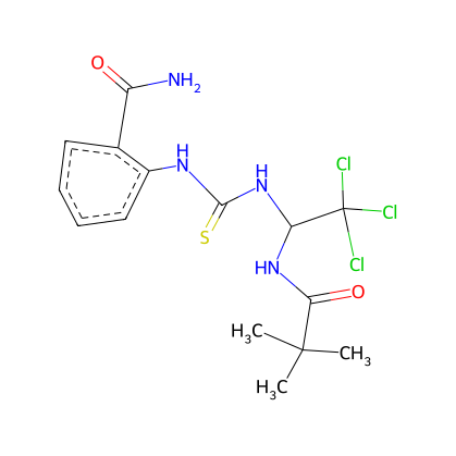 CC(C)(C)C(=O)NC(NC(=S)Nc1ccccc1C(N)=O)C(Cl)(Cl)Cl